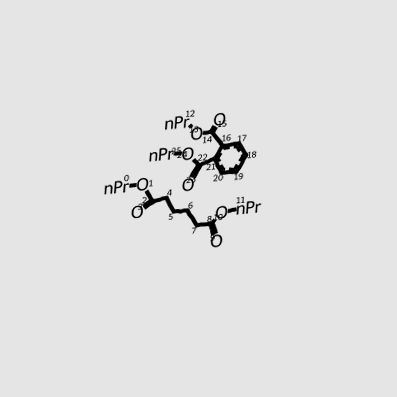 CCCOC(=O)CCCCC(=O)OCCC.CCCOC(=O)c1ccccc1C(=O)OCCC